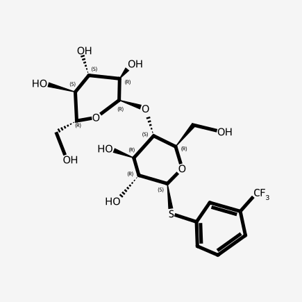 OC[C@H]1O[C@H](O[C@H]2[C@H](O)[C@@H](O)[C@H](Sc3cccc(C(F)(F)F)c3)O[C@@H]2CO)[C@H](O)[C@@H](O)[C@@H]1O